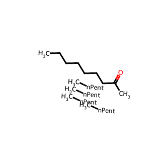 CCCCCC.CCCCCC.CCCCCC.CCCCCC.CCCCCCCC(C)=O